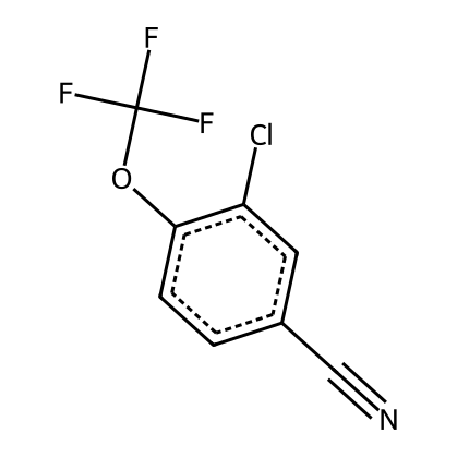 N#Cc1ccc(OC(F)(F)F)c(Cl)c1